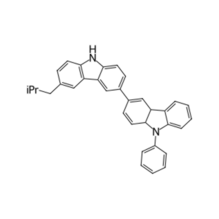 CC(C)Cc1ccc2[nH]c3ccc(C4=CC5c6ccccc6N(c6ccccc6)C5C=C4)cc3c2c1